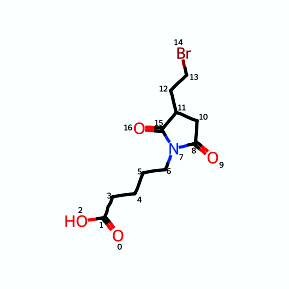 O=C(O)CCCCN1C(=O)CC(CCBr)C1=O